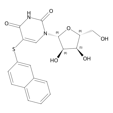 O=c1[nH]c(=O)n([C@@H]2O[C@H](CO)[C@@H](O)[C@H]2O)cc1Sc1ccc2ccccc2c1